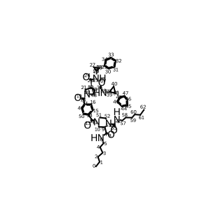 CCCCCCNC(=O)C1CN(C(=O)c2ccc(C(=O)N3C[C@@H](C(=O)N[C@H]4C[C@@H]4c4ccccc4)[C@H](C(=O)N[C@H]4C[C@@H]4c4ccccc4)C3)cc2)CCN1C(=O)NCCCCCC